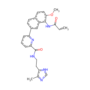 C=CC(=O)Nc1c(OC)ccc2ccc(-c3cccc(C(=O)NCCc4[nH]cnc4C)n3)cc12